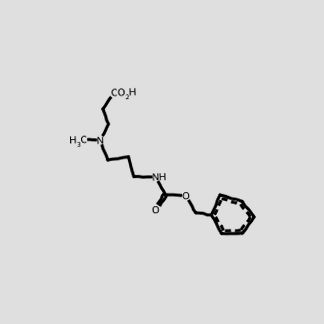 CN(CCCNC(=O)OCc1ccccc1)CCC(=O)O